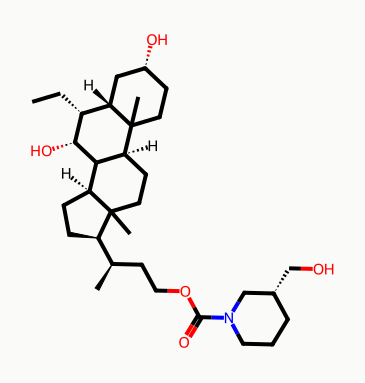 CC[C@H]1[C@@H](O)C2[C@@H]3CC[C@H]([C@H](C)CCOC(=O)N4CCC[C@@H](CO)C4)C3(C)CC[C@@H]2C2(C)CC[C@@H](O)C[C@@H]12